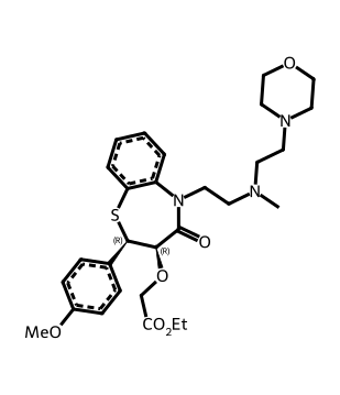 CCOC(=O)CO[C@@H]1C(=O)N(CCN(C)CCN2CCOCC2)c2ccccc2S[C@@H]1c1ccc(OC)cc1